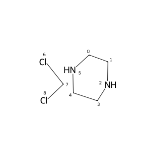 C1CNCCN1.ClCCl